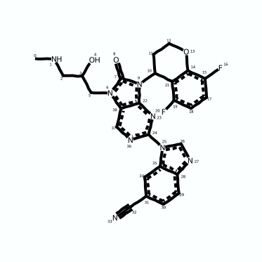 CNCC(O)Cn1c(=O)n(C2CCOc3c(F)ccc(F)c32)c2nc(-n3cnc4ccc(C#N)cc43)ncc21